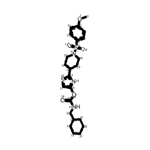 COc1ccc(S(=O)(=O)N2CCC(c3nc(OC(=O)NCC4CCCCC4)cs3)CC2)cc1